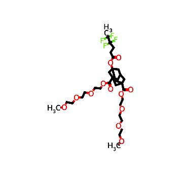 COCCOCCOCCOC(=O)C12CC3CC(OC(=O)CCC(F)(F)C(C)(F)F)(C1)CC(C(=O)OCCOCCOCCOC)(C3)C2